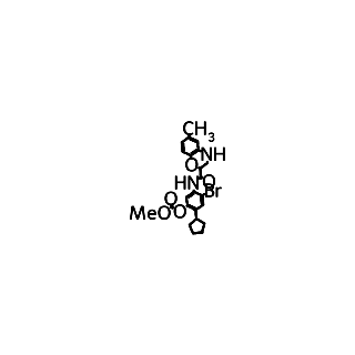 COC(=O)Oc1cc(NC(=O)C2CNc3cc(C)ccc3O2)c(Br)cc1C1CCCC1